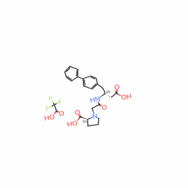 O=C(O)C(F)(F)F.O=C(O)C[C@@H](Cc1ccc(-c2ccccc2)cc1)NC(=O)CN1CCC[C@H]1C(=O)O